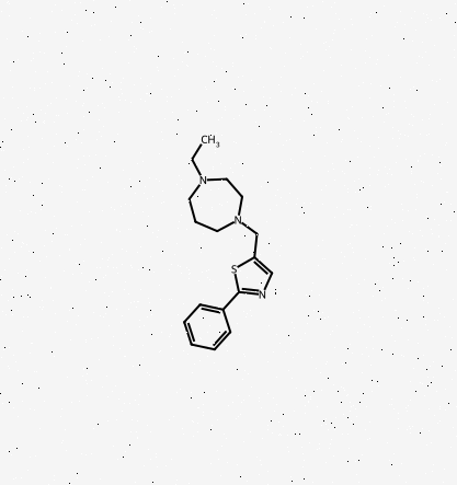 CCN1CCCN(Cc2cnc(-c3ccccc3)s2)CC1